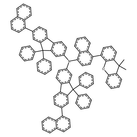 CC1(C)c2ccccc2Oc2c(-c3ccc(N(c4ccc5c(c4)C(c4ccccc4)(c4ccccc4)c4cc(-c6cccc7ccccc67)ccc4-5)c4ccc5c(c4)C(c4ccccc4)(c4ccccc4)c4cc(-c6cccc7ccccc67)ccc4-5)c4ccccc34)cccc21